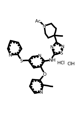 CC(=O)N1CCC(C)(c2nsc(Nc3ncc(Sc4ccccn4)cc3Oc3cccnc3C)n2)CC1.Cl.Cl